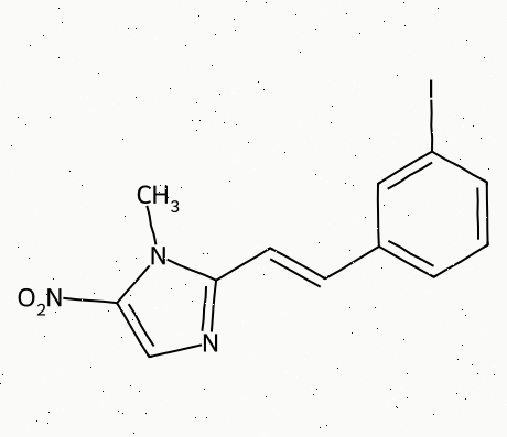 Cn1c([N+](=O)[O-])cnc1/C=C/c1cccc(I)c1